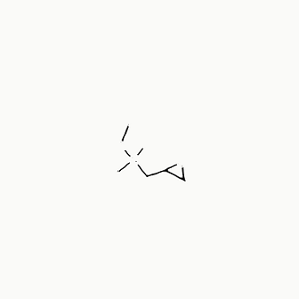 CCO[Si](Cl)(Cl)CC1CO1